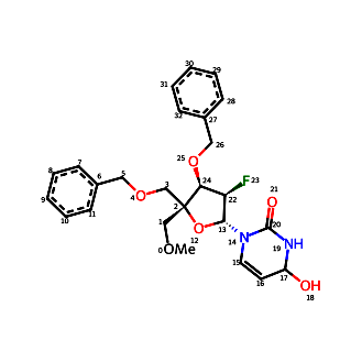 COC[C@]1(COCc2ccccc2)O[C@@H](N2C=CC(O)NC2=O)[C@H](F)[C@@H]1OCc1ccccc1